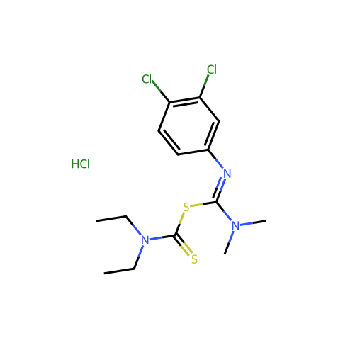 CCN(CC)C(=S)SC(=Nc1ccc(Cl)c(Cl)c1)N(C)C.Cl